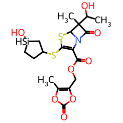 Cc1oc(=O)oc1COC(=O)C1=C(SC2CC[SiH](O)C2)SC2N1C(=O)C2(C)C(C)O